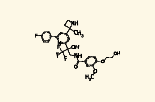 COc1cc(C(=O)NCC(O)(c2cc(C3(C)CCN3)cc(-c3ccc(F)cc3)n2)C(F)(F)F)ccc1OCCO